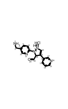 Cl.Cl.NCc1ccc(N2NC=C(c3cccnc3)C2C=O)nc1